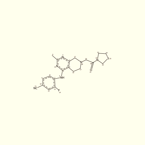 Cc1nc2c(c(Nc3ccc(C#N)cc3F)n1)CCN(CC(=O)N1CCSC1)C2